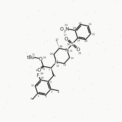 Cc1cc(C)c(C[C@@H](C(=O)OC(C)(C)C)N2CCN(S(=O)(=O)c3ccccc3[N+](=O)[O-])[C@@H](C)C2)c(F)c1